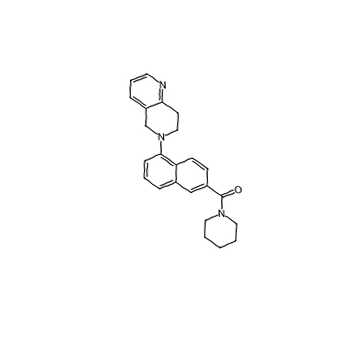 O=C(c1ccc2c(N3CCc4ncccc4C3)cccc2c1)N1CCCCC1